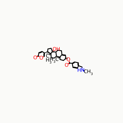 CNCc1ccc(C(=O)O[C@@H]2C=C3CCC4C(CC[C@]5(C)[C@@H](c6ccc(=O)oc6)CC[C@]45O)[C@@]3(C)CC2)cc1